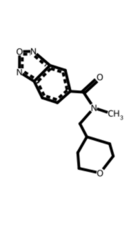 CN(CC1CCOCC1)C(=O)c1ccc2nonc2c1